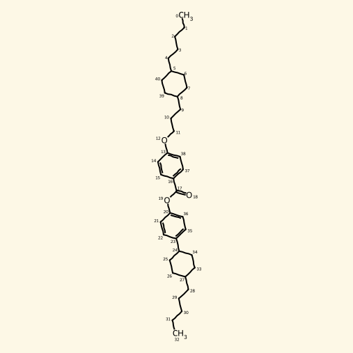 CCCCCC1CCC(CCCOc2ccc(C(=O)Oc3ccc(C4CCC(CCCCC)CC4)cc3)cc2)CC1